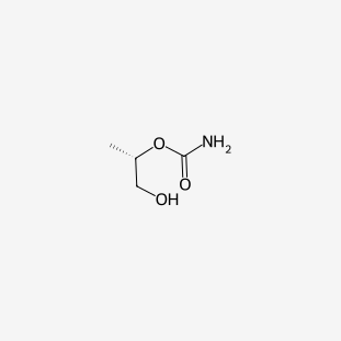 C[C@@H](CO)OC(N)=O